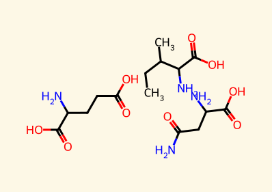 CCC(C)C(N)C(=O)O.NC(=O)CC(N)C(=O)O.NC(CCC(=O)O)C(=O)O